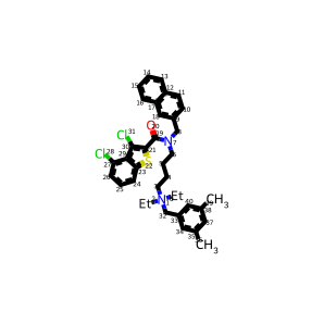 CC[N+](CC)(CCCCN(Cc1ccc2ccccc2c1)C(=O)c1sc2cccc(Cl)c2c1Cl)Cc1cc(C)cc(C)c1